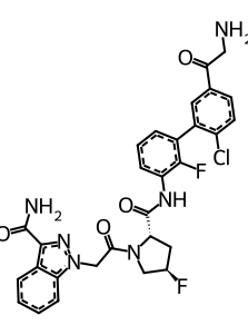 NCC(=O)c1ccc(Cl)c(-c2cccc(NC(=O)[C@@H]3C[C@@H](F)CN3C(=O)Cn3nc(C(N)=O)c4ccccc43)c2F)c1